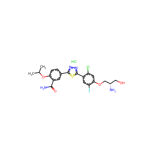 CC(C)Oc1ccc(-c2nnc(-c3cc(F)c(OC[C@@H](N)CO)cc3Cl)s2)cc1C(N)=O.Cl